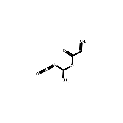 C=CC(=O)O[C](C)N=C=O